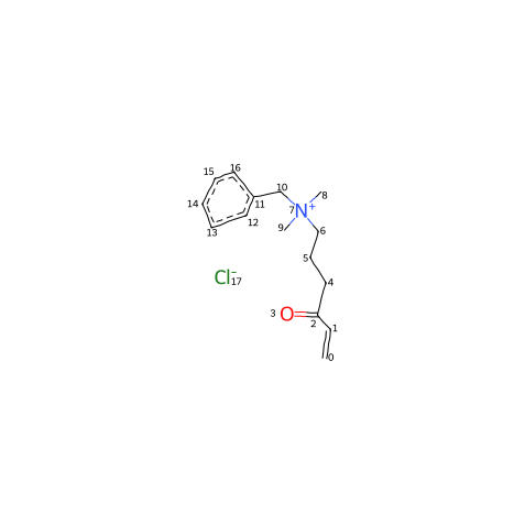 C=CC(=O)CCC[N+](C)(C)Cc1ccccc1.[Cl-]